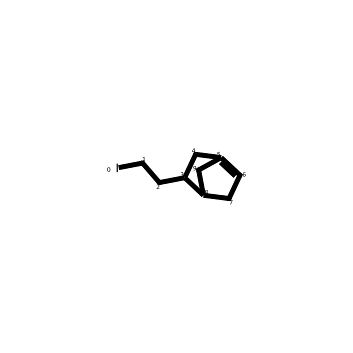 ICCC1CC2=CCC1C2